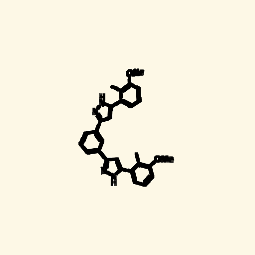 COc1cccc(-c2cc(-c3cccc(-c4cc(-c5cccc(OC)c5C)[nH]n4)c3)n[nH]2)c1C